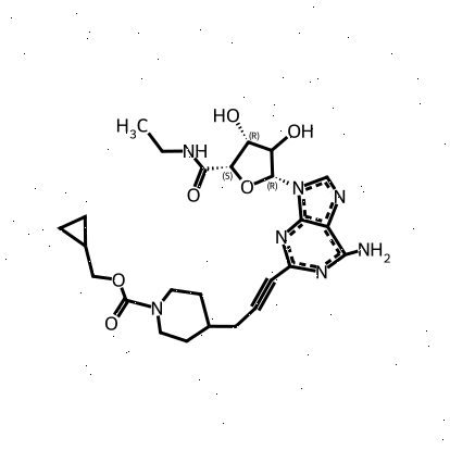 CCNC(=O)[C@H]1O[C@@H](n2cnc3c(N)nc(C#CCC4CCN(C(=O)OCC5CC5)CC4)nc32)C(O)[C@H]1O